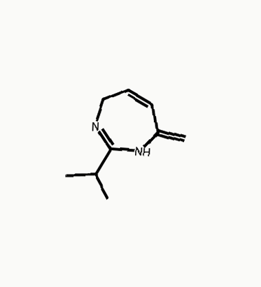 C=C1C=CCN=C(C(C)C)N1